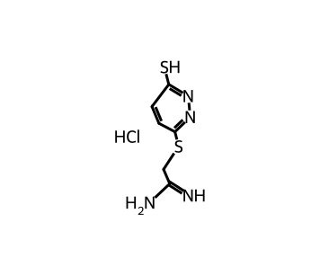 Cl.N=C(N)CSc1ccc(S)nn1